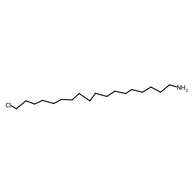 NCCCCCCCCCCCCCCCCCCCl